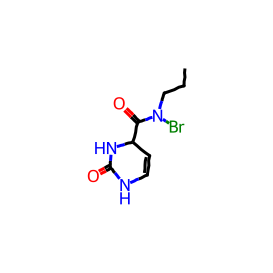 CCCN(Br)C(=O)C1C=CNC(=O)N1